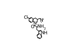 CN(C)CC1Cc2cc(Cl)ccc2N(C(=O)C(N)Cc2c[nH]c3ccccc23)C1